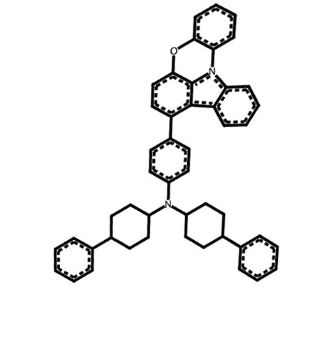 c1ccc(C2CCC(N(c3ccc(-c4ccc5c6c4c4ccccc4n6-c4ccccc4O5)cc3)C3CCC(c4ccccc4)CC3)CC2)cc1